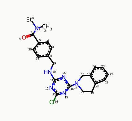 CCN(C)C(=O)c1ccc(CNc2nc(Cl)nc(N3CCc4ccccc4C3)n2)cc1